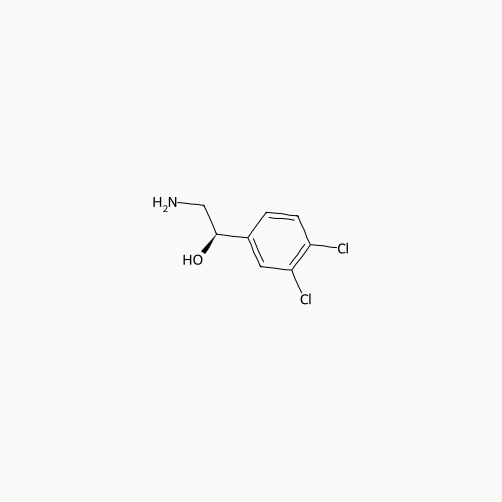 NC[C@H](O)c1ccc(Cl)c(Cl)c1